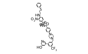 O=C(NS(=O)(=O)c1ccc(NCCSc2ccccc2)c([N+](=O)[O-])c1)c1ccc(N2CCN(Cc3cc(-c4cncc(O)c4)cc(C(F)(F)F)c3)CC2)cc1